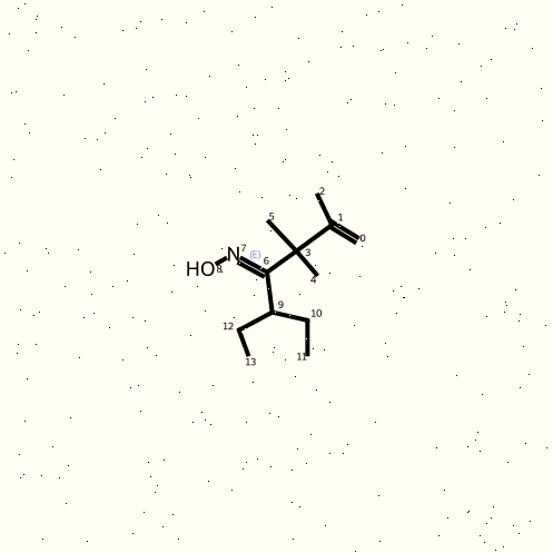 C=C(C)C(C)(C)/C(=N/O)C(CC)CC